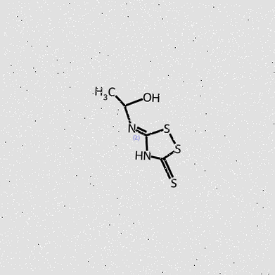 CC(O)/N=c1/[nH]c(=S)ss1